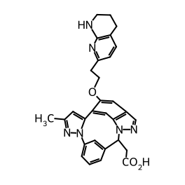 Cc1cc2n(n1)-c1cccc(c1)C(CC(=O)O)n1ncc3cc(OCCc4ccc5c(n4)NCCC5)c-2cc31